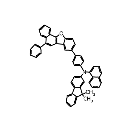 CC1(C)c2ccccc2-c2ccc(N(c3ccc(-c4ccc5oc6c7ccccc7c(-c7ccccc7)cc6c5c4)cc3)c3cccc4ccccc34)cc21